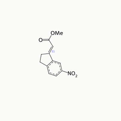 COC(=O)/C=C1\CCc2ccc([N+](=O)[O-])cc21